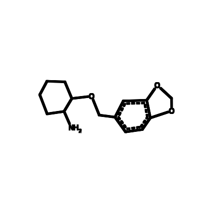 NC1CCCCC1OCc1ccc2c(c1)OCO2